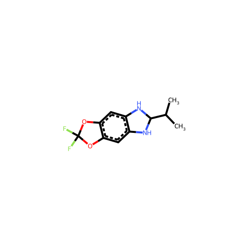 CC(C)C1Nc2cc3c(cc2N1)OC(F)(F)O3